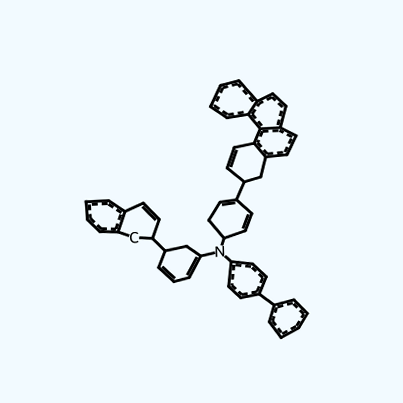 C1=CC(C2C=Cc3ccccc3C2)CC(N(c2ccc(-c3ccccc3)cc2)C2C=CC(C3C=Cc4c(ccc5ccc6ccccc6c45)C3)=CC2)=C1